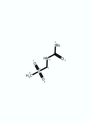 CC(C)(C)C(=O)NCS(C)(=O)=O